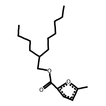 CCCCCCC(CCCC)COC(=O)c1ccc(C)o1